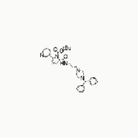 CC(C)(C)OC(=O)N1C(c2cccnc2)SC[C@H]1C(=O)NCCCN1CCN(C(c2ccccc2)c2ccccc2)CC1